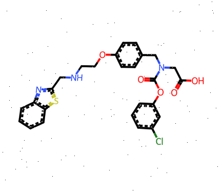 O=C(O)CN(Cc1ccc(OCCNCc2nc3ccccc3s2)cc1)C(=O)Oc1cccc(Cl)c1